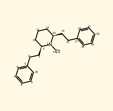 CCN1[C@@H](CCc2ccccc2)CCC[C@H]1CCc1ccccc1